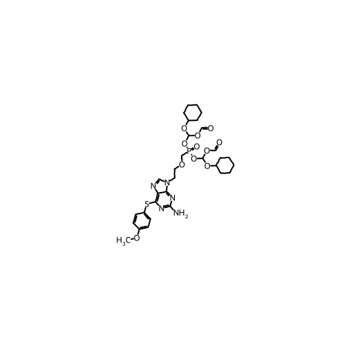 COc1ccc(Sc2nc(N)nc3c2ncn3CCOCP(=O)(OC(OC=O)OC2CCCCC2)OC(OC=O)OC2CCCCC2)cc1